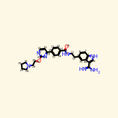 N=C(N)c1c[nH]c2ccc(CCNC(=O)c3ccc(-c4ccnc(OCCN5CCCC5)n4)cc3)cc12